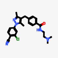 Cc1nn(-c2ccc(C#N)c(Cl)c2)c(C)c1Cc1ccc(C(=O)NCCN(C)C)cc1